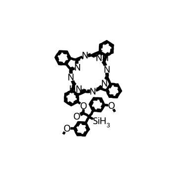 COc1cccc(C([SiH3])(C(=O)Oc2cccc3c4nc5nc(nc6[nH]c(nc7nc(nc([nH]4)c23)-c2ccccc2-7)c2ccccc62)-c2ccccc2-5)c2cccc(OC)c2)c1